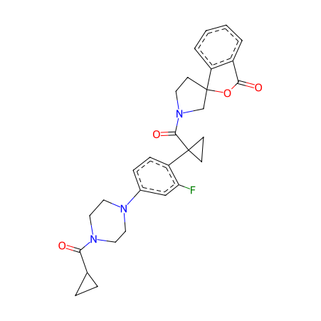 O=C1OC2(CCN(C(=O)C3(c4ccc(N5CCN(C(=O)C6CC6)CC5)cc4F)CC3)C2)c2ccccc21